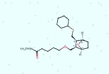 CN(O)C(=O)CCCCOC[C@H]1[C@@H](CSC2CCCCC2)[C@H]2CC[C@@H]1O2